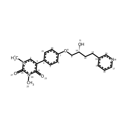 Cn1cc(-c2ccc(OC[C@H](O)CCc3cccnc3)cc2)c(=O)n(C)c1=O